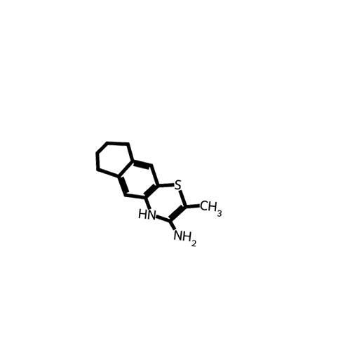 CC1=C(N)Nc2cc3c(cc2S1)CCCC3